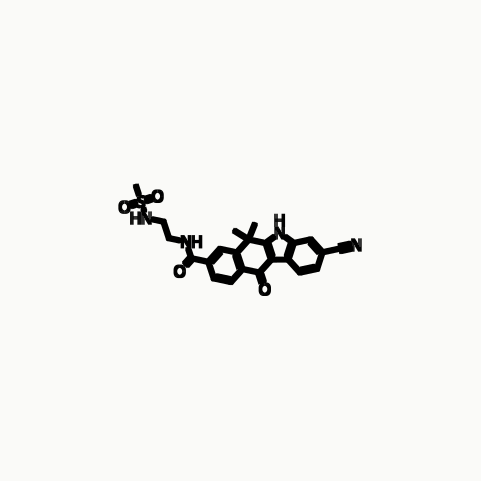 CC1(C)c2cc(C(=O)NCCNS(C)(=O)=O)ccc2C(=O)c2c1[nH]c1cc(C#N)ccc21